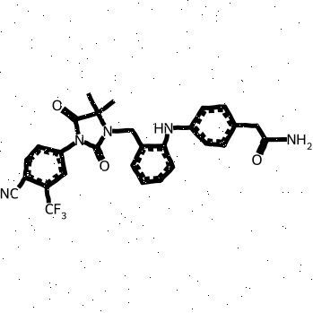 CC1(C)C(=O)N(c2ccc(C#N)c(C(F)(F)F)c2)C(=O)N1Cc1ccccc1Nc1ccc(CC(N)=O)cc1